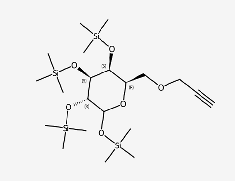 C#CCOC[C@H]1OC(O[Si](C)(C)C)[C@H](O[Si](C)(C)C)[C@@H](O[Si](C)(C)C)[C@H]1O[Si](C)(C)C